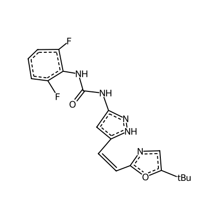 CC(C)(C)c1cnc(/C=C\c2cc(NC(=O)Nc3c(F)cccc3F)n[nH]2)o1